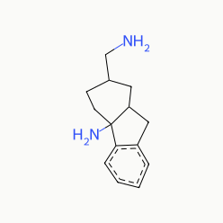 NCC1CCC2(N)c3ccccc3CC2C1